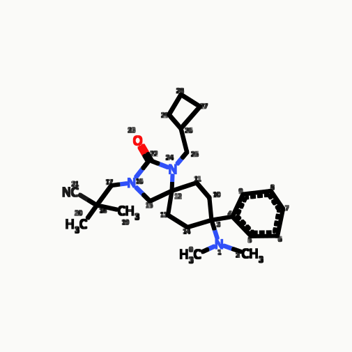 CN(C)C1(c2ccccc2)CCC2(CC1)CN(CC(C)(C)C#N)C(=O)N2CC1CCC1